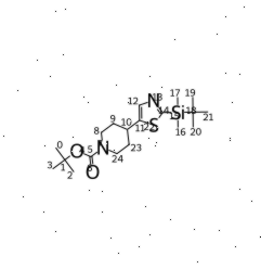 CC(C)(C)OC(=O)N1CCC(c2cnc([Si](C)(C)C(C)(C)C)s2)CC1